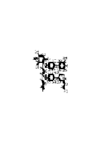 C=C/C=C/N(/C=C/CN(C1=C(C)C=C(C)N(C)C1C)c1ccc(-c2cccc(C)c2)cc1)c1ccc(/C(=C/C=C\CC)CC)cc1